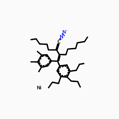 CCCCCCC(C(=C=[N+]=[N-])CCCCC)=C(c1cc(C)c(C)c(C)c1)c1cc(CCC)c(CCC)c(CCC)c1.[Ni]